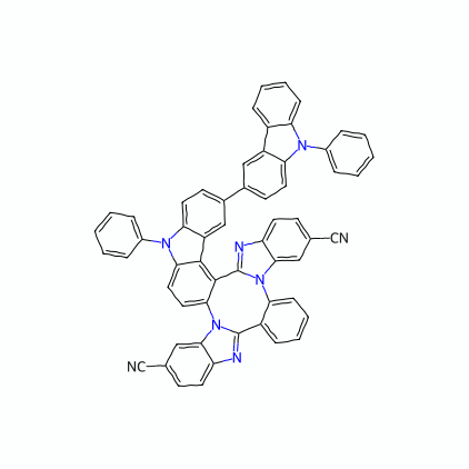 N#Cc1ccc2nc3c4ccccc4n4c5cc(C#N)ccc5nc4c4c5c6cc(-c7ccc8c(c7)c7ccccc7n8-c7ccccc7)ccc6n(-c6ccccc6)c5ccc4n3c2c1